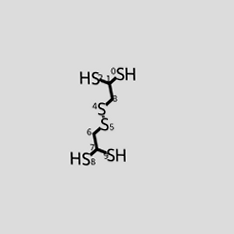 SC(S)CSSCC(S)S